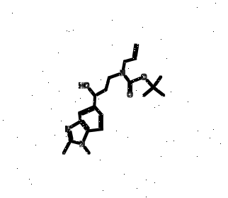 C=CCN(CCC(O)c1ccc2c(c1)nc(C)n2C)C(=O)OC(C)(C)C